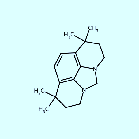 CC1(C)CCN2CN3CCC(C)(C)c4ccc1c2c43